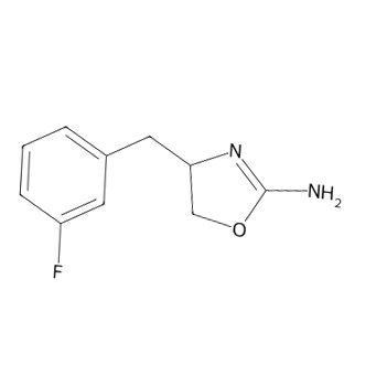 NC1=NC(Cc2cccc(F)c2)CO1